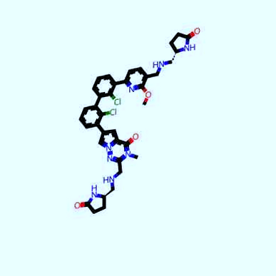 COc1nc(-c2cccc(-c3cccc(-c4cc5c(=O)n(C)c(CNC[C@H]6CCC(=O)N6)nn5c4)c3Cl)c2Cl)ccc1CNC[C@@H]1CCC(=O)N1